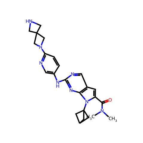 CN(C)C(=O)c1cc2cnc(Nc3ccc(N4CC5(CNC5)C4)nc3)nc2n1C12CC(C1)C2